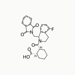 O=C(O)[C@H]1CCCC[C@H]1C(=O)N1CCc2c(F)cccc2C1CN1C(=O)c2ccccc2C1=O